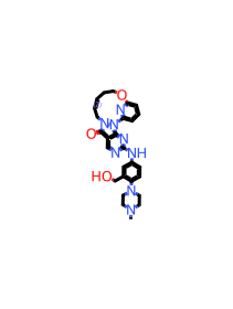 CN1CCN(c2ccc(Nc3ncc4c(=O)n5n(c4n3)-c3cccc(n3)OCC/C=C\C5)cc2CO)CC1